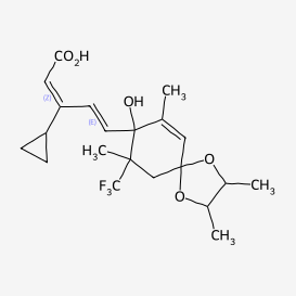 CC1=CC2(CC(C)(C(F)(F)F)C1(O)/C=C/C(=C\C(=O)O)C1CC1)OC(C)C(C)O2